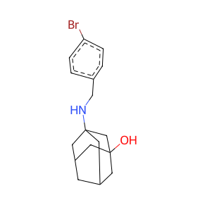 OC12CC3CC(C1)CC(NCc1ccc(Br)cc1)(C3)C2